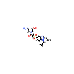 CC(C)(C)Cc1nc2cc(S(=O)(=O)C(C)(C)C(=O)N(CCN)CCO)ccc2n1CC1CC1